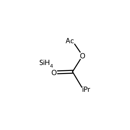 CC(=O)OC(=O)C(C)C.[SiH4]